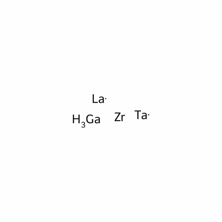 [GaH3].[La].[Ta].[Zr]